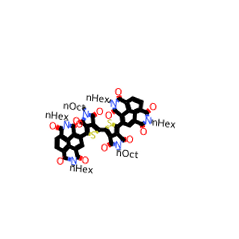 CCCCCCCCN1C(=O)c2c(-c3cc4c5c(ccc6c5c3C(=O)N(CCCCCC)C6=O)C(=O)N(CCCCCC)C4=O)sc(-c3sc(-c4cc5c6c(ccc7c6c4C(=O)N(CCCCCC)C7=O)C(=O)N(CCCCCC)C5=O)c4c3C(=O)N(CCCCCCCC)C4=O)c2C1=O